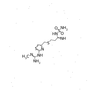 CN=C(N)Nc1nc(CSCCC(=N)NS(N)(=O)=O)cs1